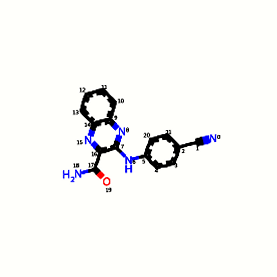 N#Cc1ccc(Nc2nc3ccccc3nc2C(N)=O)cc1